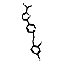 CC(F)c1nnc(-c2ccc(COc3ccc(Cl)cc3F)nc2)o1